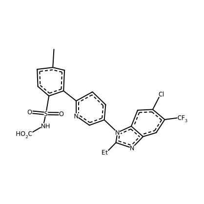 CCc1nc2cc(C(F)(F)F)c(Cl)cc2n1-c1ccc(-c2cc(C)ccc2S(=O)(=O)NC(=O)O)nc1